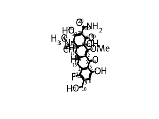 COC1=C2C(=O)c3c(O)cc(CO)c(F)c3C[C@H]2C[C@H]2[C@H](N(C)C)C(O)=C(C(N)=O)C(=O)[C@@]12O